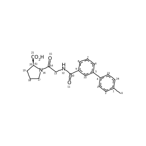 Cc1ccc(-c2cccc(C(=O)NCC(=O)N3CCC[C@H]3C(=O)O)c2)cc1